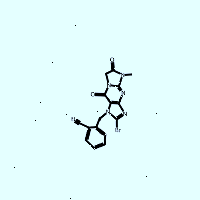 CN1C(=O)Cn2c1nc1nc(Br)n(Cc3ccccc3C#N)c1c2=O